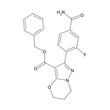 NC(=O)c1ccc(-c2nn3c(c2C(=O)OCc2ccccc2)OCCC3)c(F)c1